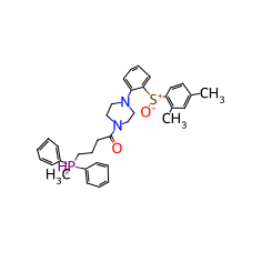 Cc1ccc([S+]([O-])c2ccccc2N2CCN(C(=O)CCC[PH](C)(c3ccccc3)c3ccccc3)CC2)c(C)c1